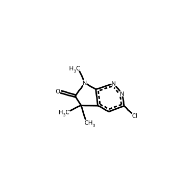 CN1C(=O)C(C)(C)c2cc(Cl)nnc21